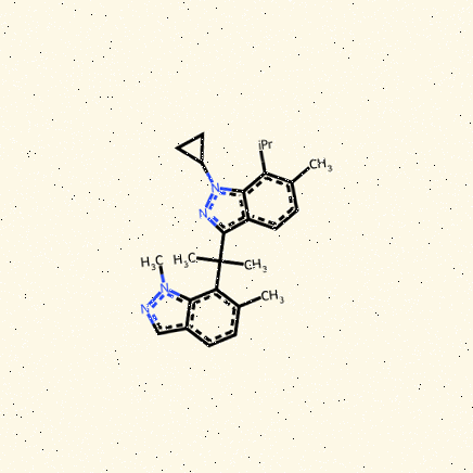 Cc1ccc2cnn(C)c2c1C(C)(C)c1nn(C2CC2)c2c(C(C)C)c(C)ccc12